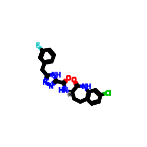 O=C(N[C@H]1CCc2ccc(Cl)cc2NC1=O)c1nnc(Cc2cccc(F)c2)[nH]1